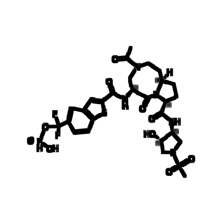 CC(=O)N1CC[C@H]2CC[C@@H](C(=O)N[C@H]3CN(S(C)(=O)=O)C[C@@H]3O)N2C(=O)[C@@H](NC(=O)c2cc3cc(C(F)(F)O[PH](=O)O)ccc3s2)C1